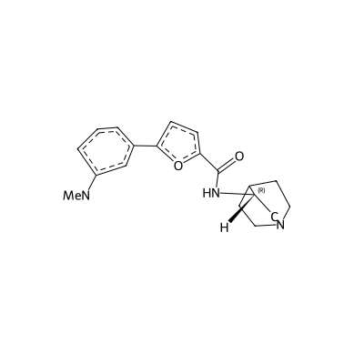 CNc1cccc(-c2ccc(C(=O)N[C@H]3CN4CCC3CC4)o2)c1